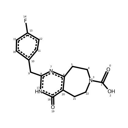 O=C(O)N1CCc2nc(Cc3ccc(F)cc3)[nH]c(=O)c2CC1